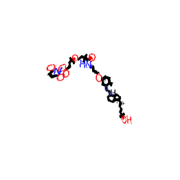 C=C1CC[C@H](OCCCNC(=O)C(C)(C)CCOC(C)(C)CCC(=O)ON2C(=O)CCC2=O)C/C1=C/C=C1\CCC[C@]2(C)C([C@H](C)CCCC(C)(C)O)CC[C@@H]12